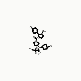 CCC1CCC(N(C(=O)C(C)(C)CO)[C@H]2CCN(C(=O)[C@H]3CCN(C(C)(C)C)C3c3ccc(Cl)cc3)C2)CC1